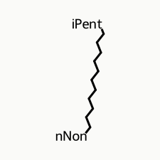 [CH2]C(CCC)CCCCCCCCCCCCCCCCCCCC